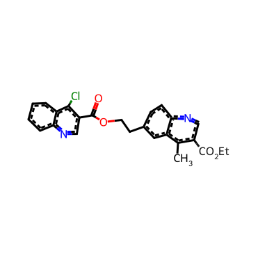 CCOC(=O)c1cnc2ccc(CCOC(=O)c3cnc4ccccc4c3Cl)cc2c1C